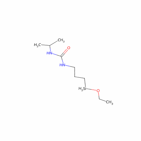 CCO[SiH2]CCCNC(=O)NC(C)C